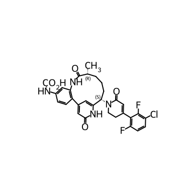 C[C@@H]1CCC[C@H](N2CCC(c3c(F)ccc(Cl)c3F)=CC2=O)c2cc(cc(=O)[nH]2)-c2ccc(NC(=O)O)cc2NC1=O